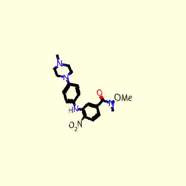 CON(C)C(=O)c1ccc([N+](=O)[O-])c(Nc2ccc(N3CCN(C)CC3)cc2)c1